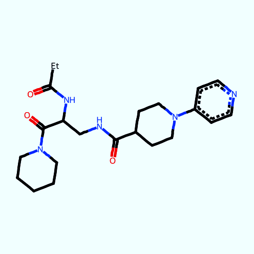 CCC(=O)NC(CNC(=O)C1CCN(c2ccncc2)CC1)C(=O)N1CCCCC1